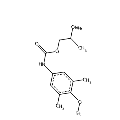 CCOc1c(C)cc(NC(=O)OCC(C)OC)cc1C